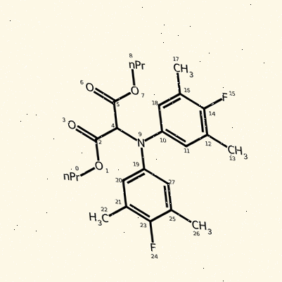 CCCOC(=O)C(C(=O)OCCC)N(c1cc(C)c(F)c(C)c1)c1cc(C)c(F)c(C)c1